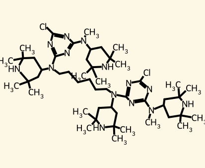 CN(c1nc(Cl)nc(N(CCCCCCN(c2nc(Cl)nc(N(C)C3CC(C)(C)NC(C)(C)C3)n2)C2CC(C)(C)NC(C)(C)C2)C2CC(C)(C)NC(C)(C)C2)n1)C1CC(C)(C)NC(C)(C)C1